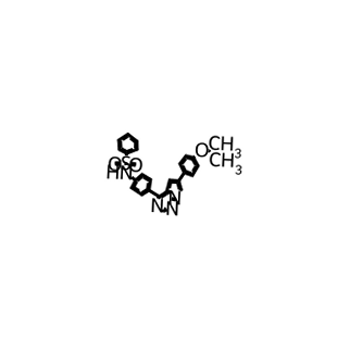 CC(C)Oc1ccc(-c2cc3c(-c4ccc(NS(=O)(=O)c5ccccc5)cc4)ncnn3c2)cc1